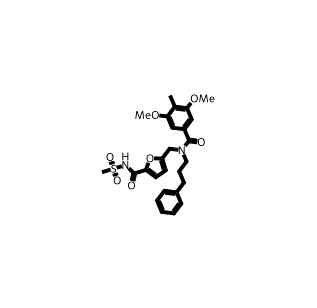 COc1cc(C(=O)N(CCCc2ccccc2)Cc2ccc(C(=O)NS(C)(=O)=O)o2)cc(OC)c1C